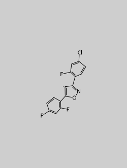 Fc1ccc(-c2[c]c(-c3ccc(Cl)cc3F)no2)c(F)c1